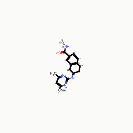 COc1cc(C)nc(NC2CCc3ccc(C(=O)NO)cc3C2)n1